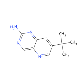 CC(C)(C)c1cnc2cnc(N)nc2c1